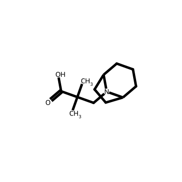 CC(C)(CN1C2CCCC1CC2)C(=O)O